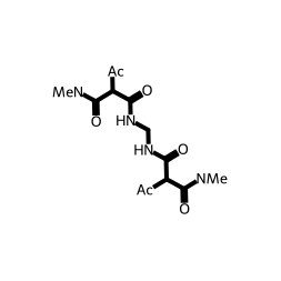 CNC(=O)C(C(C)=O)C(=O)NCNC(=O)C(C(C)=O)C(=O)NC